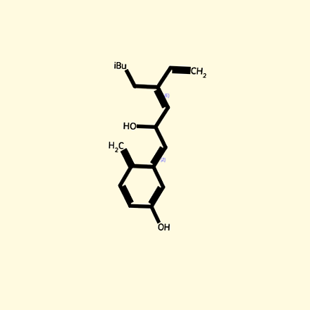 C=C/C(=C/C(O)/C=c1/cc(O)ccc1=C)CC(C)CC